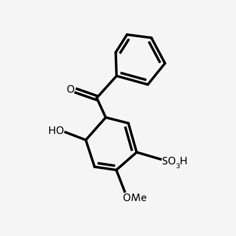 COC1=CC(O)C(C(=O)c2ccccc2)C=C1S(=O)(=O)O